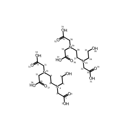 O=C(O)CN(CCO)CCN(CC(=O)O)CC(=O)O.O=C(O)CN(CCO)CCN(CC(=O)O)CC(=O)O